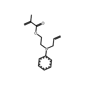 C=CCN(CCOC(=O)C(=C)C)c1ccccc1